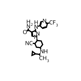 CC(NC1CCC(n2cc(C(N)=O)c(Nc3ccc(C(F)(F)F)nc3)n2)C(C#N)C1)C1CC1